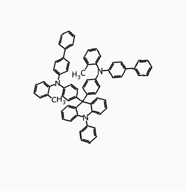 Cc1ccccc1N(c1ccc(-c2ccccc2)cc1)c1ccc(C2(c3ccc(N(c4ccc(-c5ccccc5)cc4)c4ccccc4C)cc3)c3ccccc3N(c3ccccc3)c3ccccc32)cc1